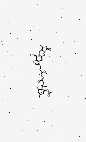 COC(CCn1cnc2c(=N)n(Cc3oc(=O)oc3C)c(F)nc21)COC(=O)CC(C)(C)c1c(C)cc(C)cc1OC(C)=O